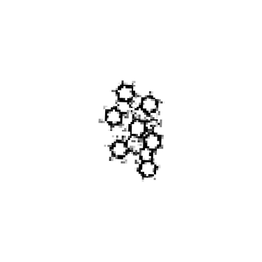 N#Cc1ccc2c3ccccc3n(-c3ccccc3-c3ccc(C#N)c([Si](c4ccccc4)(c4ccccc4)c4ccccc4)c3)c2c1